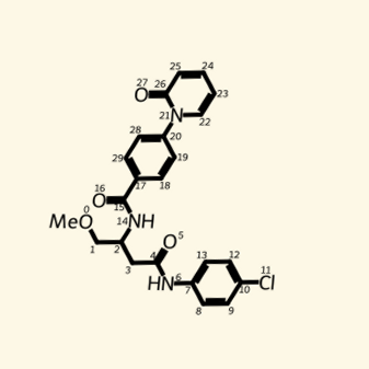 COCC(CC(=O)Nc1ccc(Cl)cc1)NC(=O)c1ccc(-n2ccccc2=O)cc1